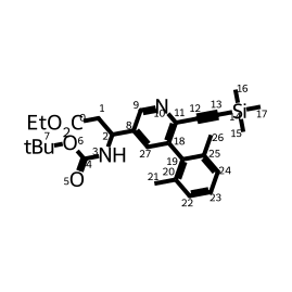 CCOC(=O)CC(NC(=O)OC(C)(C)C)c1cnc(C#C[Si](C)(C)C)c(-c2c(C)cccc2C)c1